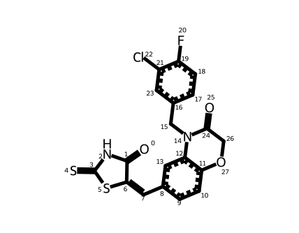 O=C1NC(=S)SC1=Cc1ccc2c(c1)N(Cc1ccc(F)c(Cl)c1)C(=O)CO2